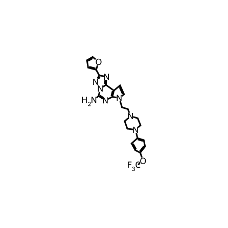 Nc1nc2c(ccn2CCN2CCN(c3ccc(OC(F)(F)F)cc3)CC2)c2nc(-c3ccco3)nn12